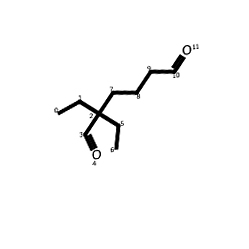 CCC(C=O)(CC)CCCC=O